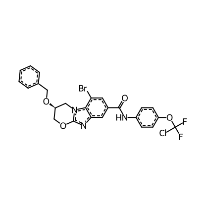 O=C(Nc1ccc(OC(F)(F)Cl)cc1)c1cc(Br)c2c(c1)nc1n2C[C@H](OCc2ccccc2)CO1